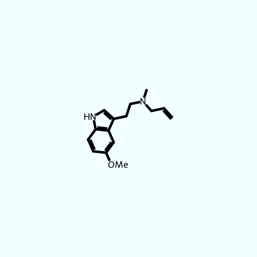 C=CCN(C)CCc1c[nH]c2ccc(OC)cc12